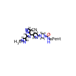 CCCCCNC(=O)N1CCN(c2ccc(-c3nc(-c4cnn(C)c4)cn4ncc(C#N)c34)cn2)CC1